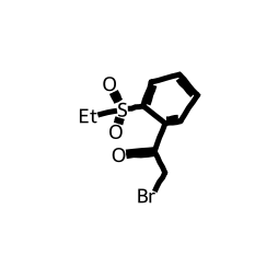 CCS(=O)(=O)c1ccccc1C(=O)CBr